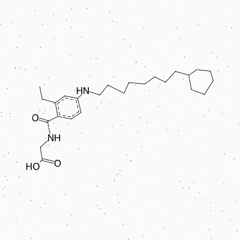 CCc1cc(NCCCCCCCCC2CCCCC2)ccc1C(=O)NCC(=O)O